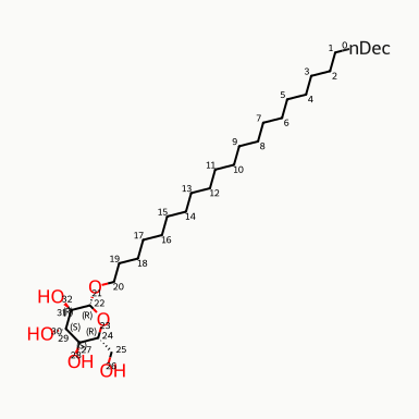 CCCCCCCCCCCCCCCCCCCCCCCCCCCCCCO[C@@H]1O[C@H](CO)[C@@H](O)[C@H](O)[C@H]1O